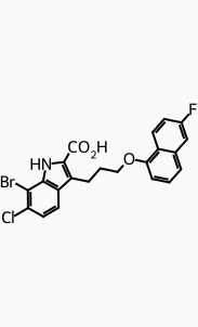 O=C(O)c1[nH]c2c(Br)c(Cl)ccc2c1CCCOc1cccc2cc(F)ccc12